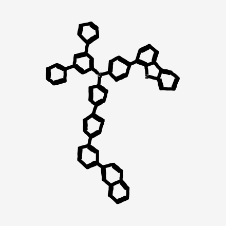 c1ccc(-c2cc(-c3ccccc3)cc(N(c3ccc(-c4ccc(-c5cccc(-c6ccc7ccccc7c6)c5)cc4)cc3)c3ccc(-c4cccc5c4sc4ccccc45)cc3)c2)cc1